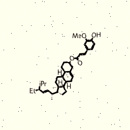 CC[C@H](/C=C/[C@@H](C)[C@H]1CC[C@H]2[C@@H]3CC=C4C[C@@H](OC(=O)/C=C/c5ccc(O)c(OC)c5)CC[C@]4(C)[C@H]3CC[C@]12C)C(C)C